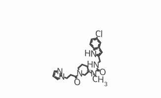 CN(C(=O)NCc1cc2cc(Cl)ccc2[nH]1)[C@@H]1CCCN(C(=O)CCn2cccn2)C1